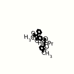 Cc1cccc(C(=O)N[C@@H](C(=O)N2CCC3(CC2)C(=O)N(C)C(=O)C3c2ccccc2)C(C)C)c1F